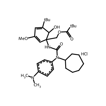 COC1=CC(COC(=O)C(C)(C)C)(NC(=O)N(c2ccc(N(C)C)cc2)C2CCCCCC2)C(O)C(C(C)(C)C)=C1.Cl